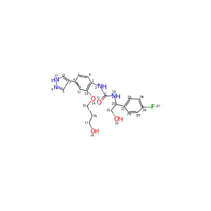 O=C(Nc1ccc(-c2cn[nH]c2)cc1OCCCO)NC(CO)c1ccc(F)cc1